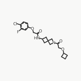 O=C(COc1ccc(Cl)c(F)c1)NC1CC2(C1)CN(C(=O)COC1CCC1)C2